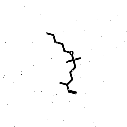 C=CC(C)CCCC(C)(C)OCCCCC